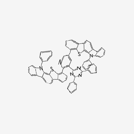 c1ccc(-c2nc(-c3ccccc3)nc(-c3cc(-c4cccc5c4sc4c5ccc5c6ccccc6n(-c6ccccc6)c54)cnc3-c3cccc4c3sc3c4ccc4c5ccccc5n(-c5ccccc5)c43)n2)cc1